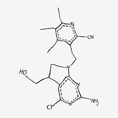 Cc1nc(C#N)c(CN2CC(CO)c3c(Cl)nc(N)nc32)c(C)c1C